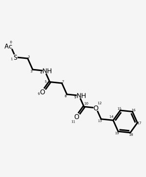 CC(=O)SCCNC(=O)CCNC(=O)OCc1ccccc1